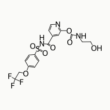 O=C(NCCO)Oc1cc(C(=O)NS(=O)(=O)c2ccc(OCC(F)(F)F)cc2)ccn1